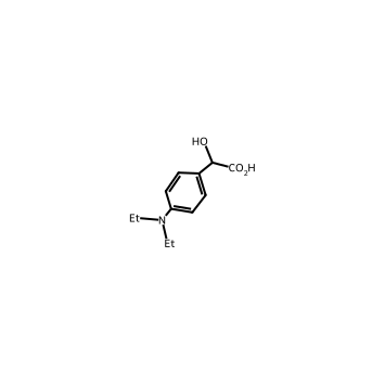 CCN(CC)c1ccc(C(O)C(=O)O)cc1